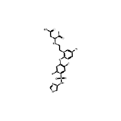 CC(=O)C(CC(=O)O)NCCc1cc(Cl)ccc1Oc1cc(F)c(S(=O)(=O)Nc2cscn2)cc1Cl